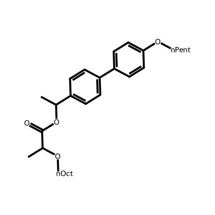 CCCCCCCCOC(C)C(=O)OC(C)c1ccc(-c2ccc(OCCCCC)cc2)cc1